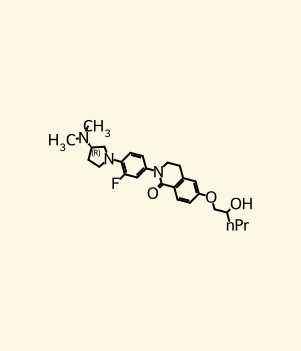 CCCC(O)COc1ccc2c(c1)CCN(c1ccc(N3CC[C@@H](N(C)C)C3)c(F)c1)C2=O